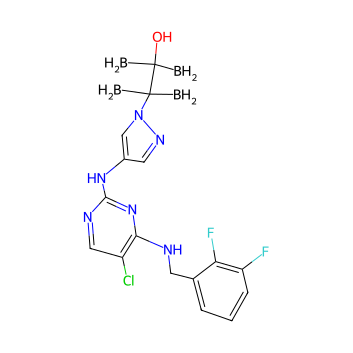 BC(B)(O)C(B)(B)n1cc(Nc2ncc(Cl)c(NCc3cccc(F)c3F)n2)cn1